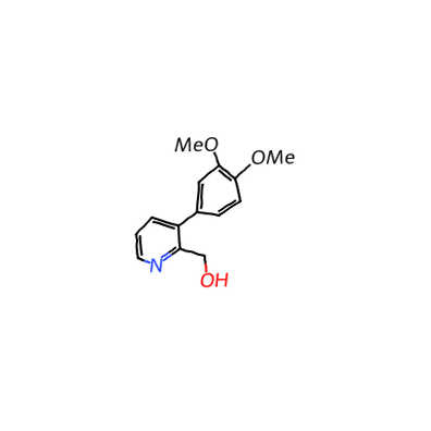 COc1ccc(-c2cccnc2CO)cc1OC